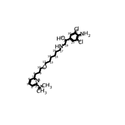 CN(C)c1cccc(CCCOCCCCCCNCC(O)c2cc(Cl)c(N)c(Cl)c2)n1